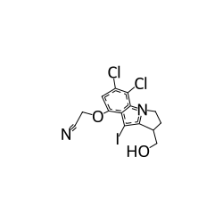 N#CCOc1cc(Cl)c(Cl)c2c1c(I)c1n2CCC1CO